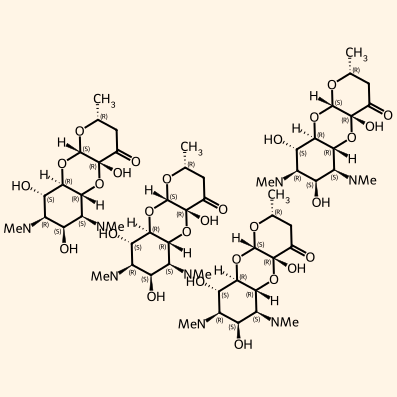 CN[C@@H]1[C@H](O)[C@H](NC)[C@H]2O[C@@]3(O)C(=O)C[C@@H](C)O[C@H]3O[C@@H]2[C@H]1O.CN[C@@H]1[C@H](O)[C@H](NC)[C@H]2O[C@@]3(O)C(=O)C[C@@H](C)O[C@H]3O[C@@H]2[C@H]1O.CN[C@@H]1[C@H](O)[C@H](NC)[C@H]2O[C@@]3(O)C(=O)C[C@@H](C)O[C@H]3O[C@@H]2[C@H]1O.CN[C@@H]1[C@H](O)[C@H](NC)[C@H]2O[C@@]3(O)C(=O)C[C@@H](C)O[C@H]3O[C@@H]2[C@H]1O